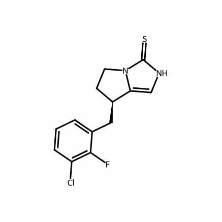 Fc1c(Cl)cccc1C[C@H]1CCn2c1c[nH]c2=S